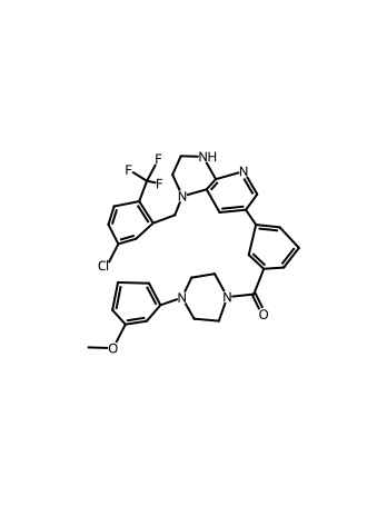 COc1cccc(N2CCN(C(=O)c3cccc(-c4cnc5c(c4)N(Cc4cc(Cl)ccc4C(F)(F)F)CCN5)c3)CC2)c1